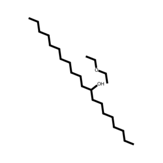 CCCCCCCCCCCC(O)CCCCCCCC.CCOCC